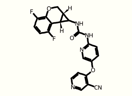 N#Cc1cnccc1Oc1ccc(NC(=O)NC2[C@H]3COc4c(F)ccc(F)c4[C@@H]23)nc1